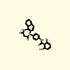 O=C1CC(=O)N(c2ccc(NC(=O)c3c(O)cccc3Br)cc2)c2ccc3ccccc3c2N1